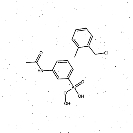 CC(=O)Nc1cccc([As](=O)(O)OO)c1.Cc1ccccc1CCl